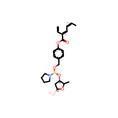 B[C@H]1C[C@@H](OP(OCc2ccc(OC(=O)/C(C=C)=C/C=C\C)cc2)N2CCCC2)C(C)O1